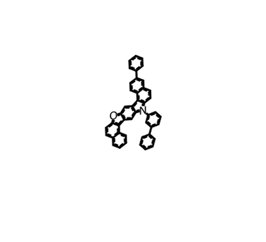 c1ccc(-c2cccc(-n3c4cc5c(cc4c4c6ccc(-c7ccccc7)cc6ccc43)oc3ccc4ccccc4c35)c2)cc1